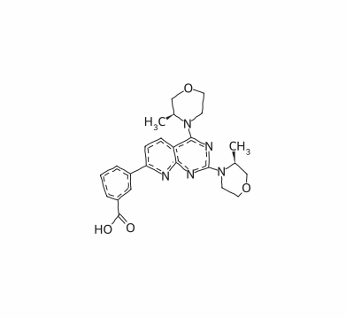 C[C@H]1COCCN1c1nc(N2CCOC[C@@H]2C)c2ccc(-c3cccc(C(=O)O)c3)nc2n1